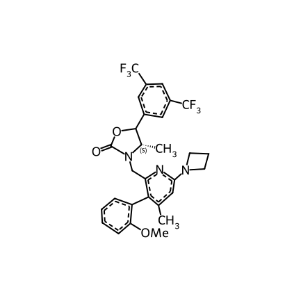 COc1ccccc1-c1c(C)cc(N2CCC2)nc1CN1C(=O)OC(c2cc(C(F)(F)F)cc(C(F)(F)F)c2)[C@@H]1C